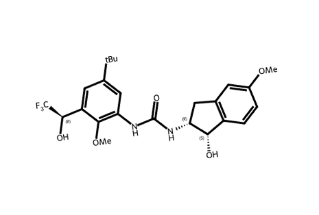 COc1ccc2c(c1)C[C@@H](NC(=O)Nc1cc(C(C)(C)C)cc([C@@H](O)C(F)(F)F)c1OC)[C@H]2O